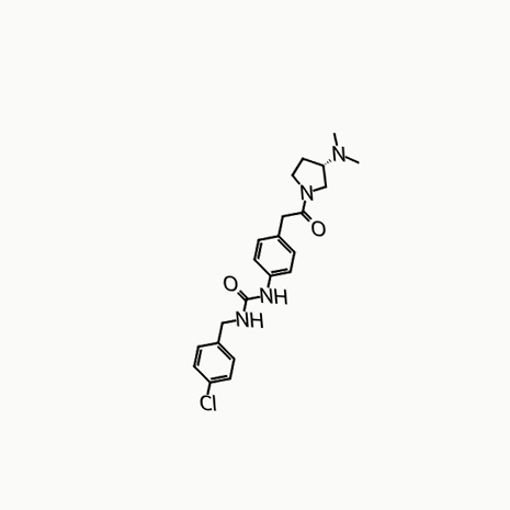 CN(C)[C@H]1CCN(C(=O)Cc2ccc(NC(=O)NCc3ccc(Cl)cc3)cc2)C1